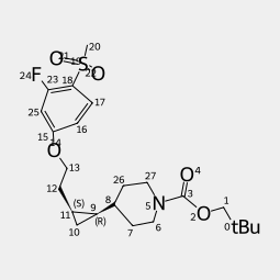 CC(C)(C)COC(=O)N1CCC([C@H]2C[C@H]2CCOc2ccc(S(C)(=O)=O)c(F)c2)CC1